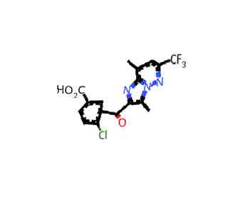 Cc1cc(C(F)(F)F)nn2c(C)c(C(=O)c3cc(C(=O)O)ccc3Cl)nc12